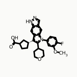 COc1cc(-n2c(C3CCOCC3)c([C@@H]3CCC(C(=O)O)C3)c3cc4[nH]ncc4cc32)ccc1F